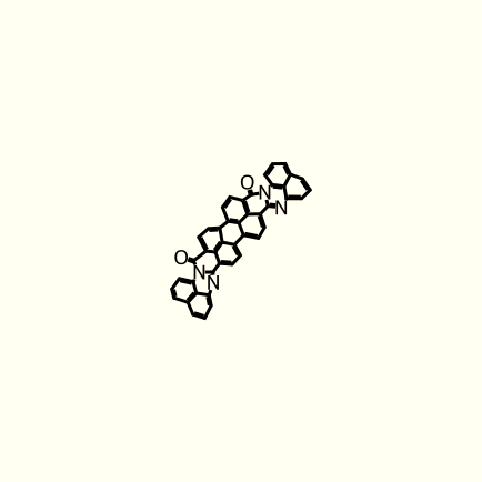 O=c1c2ccc3c4ccc5c(=O)n6c7cccc8cccc(nc6c6ccc(c9ccc(c2c39)c2nc3cccc9cccc(c93)n12)c4c56)c87